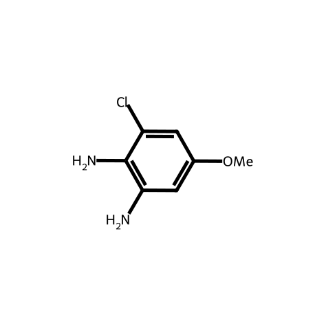 COc1cc(N)c(N)c(Cl)c1